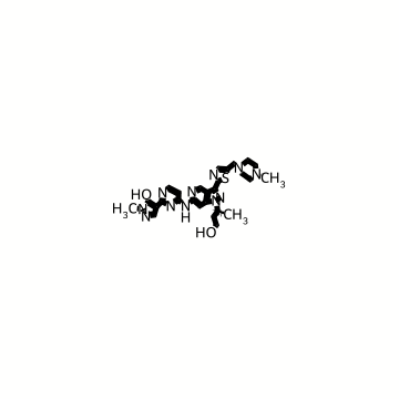 C[C@@H](CCO)n1nc(-c2ncc(CN3CCN(C)CC3)s2)c2cnc(Nc3ccnc(-c4cnn(C)c4O)n3)cc21